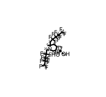 CC1(CC(F)(F)C(F)(F)C(F)(F)C(F)F)CCCCN1CC(F)(F)C(F)(F)C(F)(F)C(F)F.O=[PH](O)O